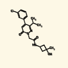 CC(C)c1nn(CC(=O)NC2CC(C)(O)C2)c(=O)cc1-c1cccc(Cl)c1